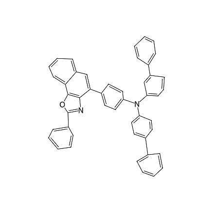 c1ccc(-c2ccc(N(c3ccc(-c4cc5ccccc5c5oc(-c6ccccc6)nc45)cc3)c3cccc(-c4ccccc4)c3)cc2)cc1